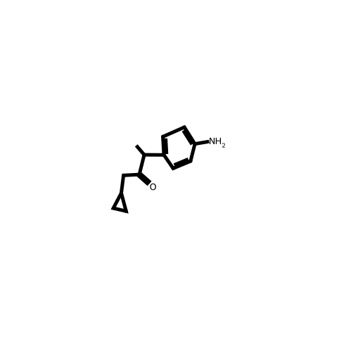 CC(C(=O)CC1CC1)c1ccc(N)cc1